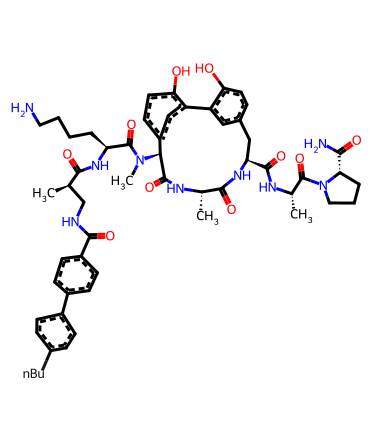 CCCCc1ccc(-c2ccc(C(=O)NC[C@@H](C)C(=O)N[C@@H](CCCCN)C(=O)N(C)[C@@H]3C(=O)N[C@@H](C)C(=O)N[C@H](C(=O)N[C@@H](C)C(=O)N4CCC[C@H]4C(N)=O)Cc4ccc(O)c(c4)-c4cc3ccc4O)cc2)cc1